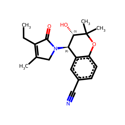 CCC1=C(C)CN([C@@H]2c3cc(C#N)ccc3OC(C)(C)[C@H]2O)C1=O